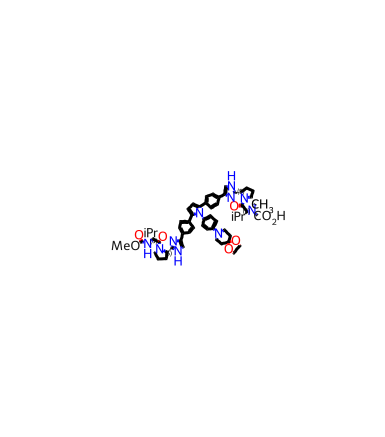 COC(=O)N[C@H](C(=O)N1CCC[C@H]1c1nc(-c2ccc(-c3ccc(-c4ccc(-c5c[nH]c([C@@H]6CCCN6C(=O)[C@H](C(C)C)N(C)C(=O)O)n5)cc4)n3-c3ccc(N4CCC5(CC4)OCCO5)cc3)cc2)c[nH]1)C(C)C